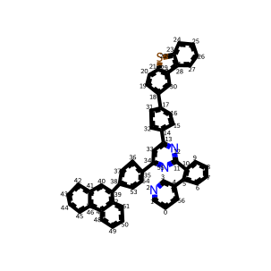 c1cncc(-c2ccccc2-c2nc(-c3ccc(-c4ccc5sc6ccccc6c5c4)cc3)cc(-c3ccc(-c4cc5ccccc5c5ccccc45)cc3)n2)c1